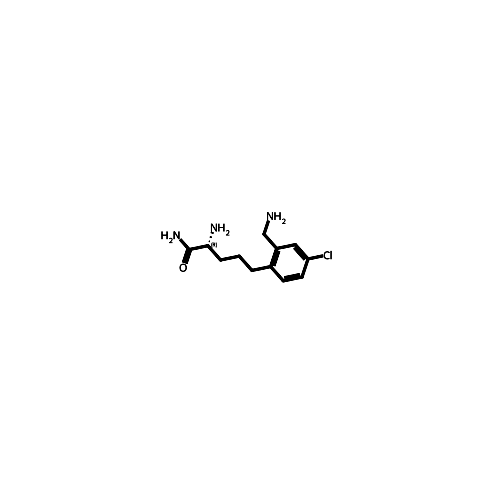 NCc1cc(Cl)ccc1CCC[C@@H](N)C(N)=O